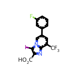 O=C(O)c1nc2c(C(F)(F)F)cc(-c3cccc(F)c3)cn2c1I